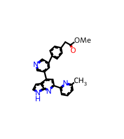 COC(=O)Cc1ccc(-c2cncc(-c3cc(-c4cccc(C)n4)nc4[nH]ccc34)c2)cc1